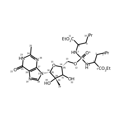 CCOC(=O)C(CC(C)C)NP(=O)(NC(CC(C)C)C(=O)OCC)OC[C@H]1O[C@@H](n2cnc3c(=O)[nH]c(C)nc32)[C@@](C)(O)C1O